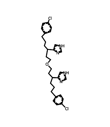 Clc1ccc(CCCC(CCOCCC(CCCc2ccc(Cl)cc2)c2c[nH]cn2)c2c[nH]cn2)cc1